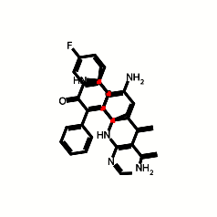 C=C(N)/C(C(=C)C1=CC(N)=C(C(C)=N)CC1)=C(\N=C/C)NC(C)c1oc2ccc(F)cc2c(=O)c1-c1ccccc1